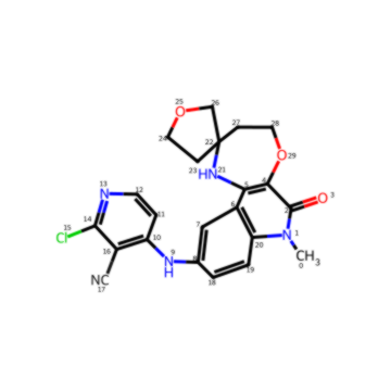 Cn1c(=O)c2c(c3cc(Nc4ccnc(Cl)c4C#N)ccc31)NC1(CCOC1)CCO2